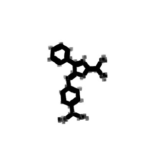 CN(C)c1ccc(/N=C2\SC(=C(C#N)C#N)N=C2c2ccccc2)cc1